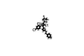 CCc1c(C2=NC(=S)C(C)(C)N2C)nn(-c2ccc(Cl)cc2Cl)c1-c1ccc(CCc2ccc(F)cc2)s1